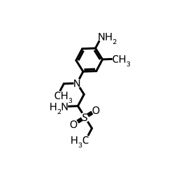 CCN(CC(N)S(=O)(=O)CC)c1ccc(N)c(C)c1